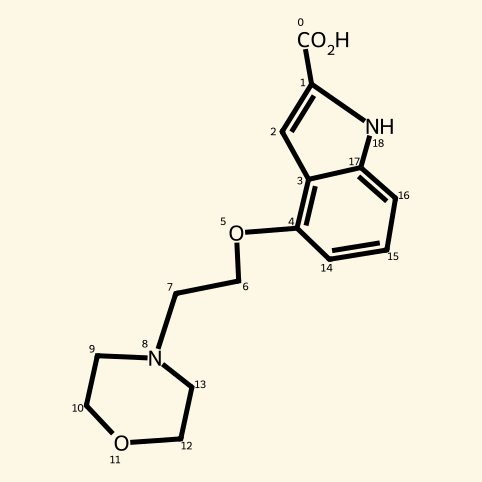 O=C(O)c1cc2c(OCCN3CCOCC3)cccc2[nH]1